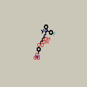 CC(C)n1c(/C=C/[C@H](O)C[C@H](O)CC(=O)Oc2ccc(CO[N+](=O)[O-])cc2)c(-c2ccc(F)cc2)c2ccccc21